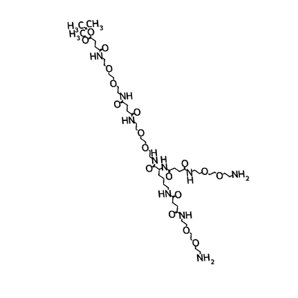 CC(C)(C)OC(=O)CCC(=O)NCCOCCOCCNC(=O)CCC(=O)NCCOCCOCCNC(=O)[C@H](CCCCNC(=O)CCC(=O)NCCOCCOCCN)NC(=O)CCC(=O)NCCOCCOCCN